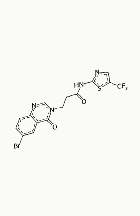 O=C(CCn1cnc2ccc(Br)cc2c1=O)Nc1ncc(C(F)(F)F)s1